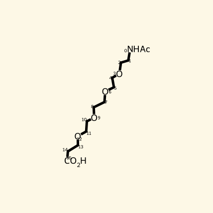 CC(=O)NCCOCCOCCOCCOCCC(=O)O